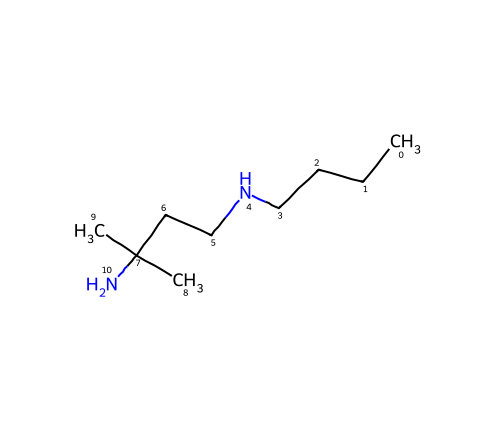 CCCCNCCC(C)(C)N